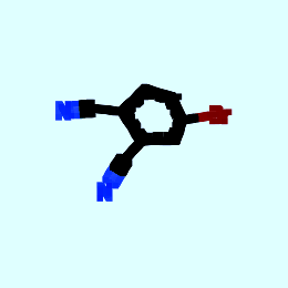 N#Cc1c[c]c(Br)cc1C#N